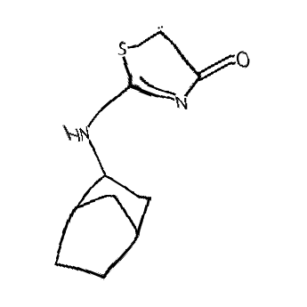 O=C1[C]SC(NC2CC3CCC2C3)=N1